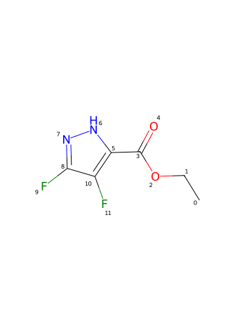 CCOC(=O)c1[nH]nc(F)c1F